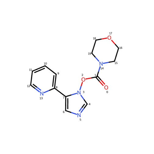 O=C(On1cncc1-c1ccccn1)N1CCOCC1